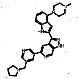 CN1CCN(c2cccc3[nH]c(-c4n[nH]c5cnc(-c6cncc(CN7CCCC7)c6)cc45)cc23)CC1